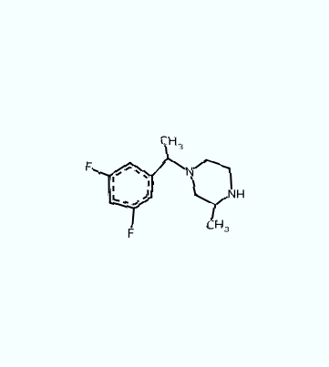 CC1CN(C(C)c2cc(F)cc(F)c2)CCN1